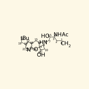 C=CC[C@H](NC(C)=O)[C@H](O)CNC1C[C@@H](O)[C@@]12CCc1cc(CC(C)(C)C)cnc1O2